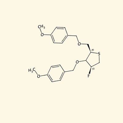 COc1ccc(COC[C@H]2SC[C@@H](F)C2OCc2ccc(OC)cc2)cc1